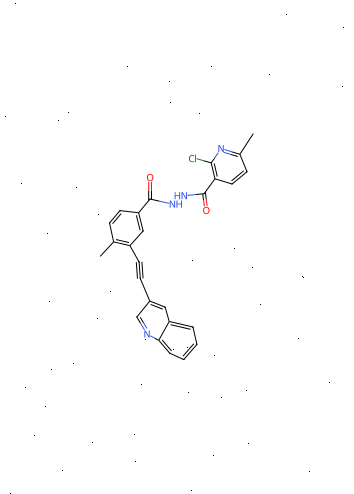 Cc1ccc(C(=O)NNC(=O)c2ccc(C)c(C#Cc3cnc4ccccc4c3)c2)c(Cl)n1